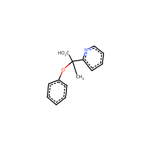 CC(Oc1ccccc1)(C(=O)O)c1ccccn1